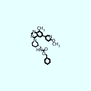 COc1ccc(-c2cc(C)c3ncnc(N4CCC[C@@H](CNC(=O)OCc5ccccc5)C4)c3c2)cn1